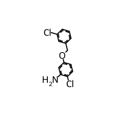 Nc1cc(OCc2cccc(Cl)c2)ccc1Cl